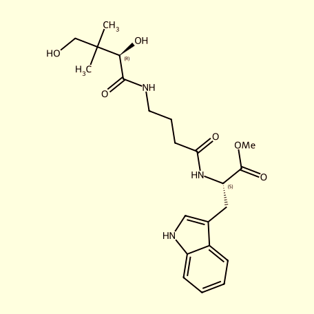 COC(=O)[C@H](Cc1c[nH]c2ccccc12)NC(=O)CCCNC(=O)[C@H](O)C(C)(C)CO